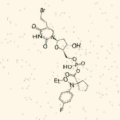 CCON(c1ccc(F)cc1)C1(C(=O)OP(=O)(O)OC[C@H]2O[C@@H](n3cc(/C=C/Br)c(=O)[nH]c3=O)C[C@@H]2O)CCCC1